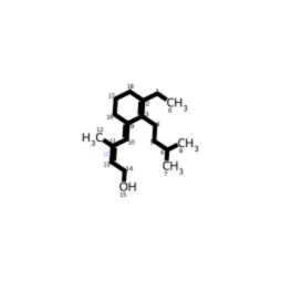 CCC1=C(CCC(C)C)C(=C/C(C)=C\CO)CCC1